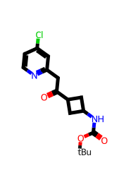 CC(C)(C)OC(=O)NC1CC(C(=O)Cc2cc(Cl)ccn2)C1